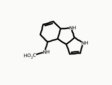 O=C(O)NC1CC=CC2NC3NC=CC3C21